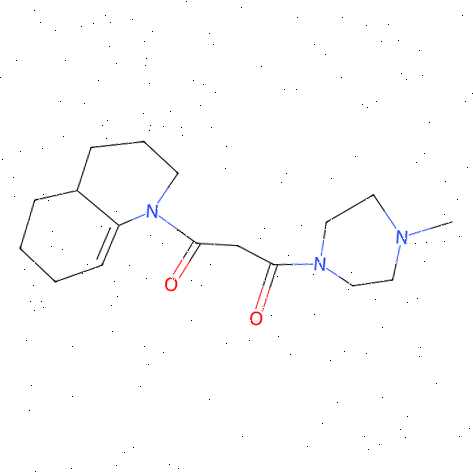 CN1CCN(C(=O)CC(=O)N2CCCC3CCCC=C32)CC1